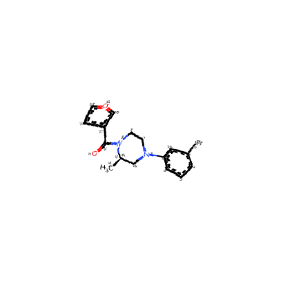 CC(C)c1[c]ccc(N2CCN(C(=O)c3ccoc3)[C@H](C)C2)c1